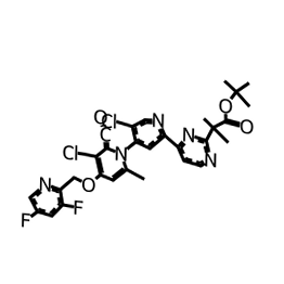 CC1=CC(OCc2ncc(F)cc2F)=C(Cl)C(=C=O)N1c1cc(-c2ccnc(C(C)(C)C(=O)OC(C)(C)C)n2)ncc1Cl